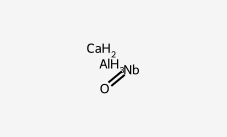 [AlH3].[CaH2].[O]=[Nb]